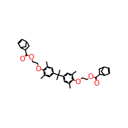 Cc1cc(C(C)(C)c2cc(C)c(OCCOC(=O)C3CC4C=CC3C4)c(C)c2)cc(C)c1OCCOC(=O)C1CC2C=CC1C2